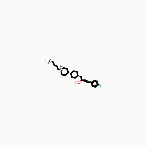 CCCCC[SiH]1CCC([C@H]2CC[C@H](CC(O)C#Cc3ccc(F)cc3)CC2)CC1